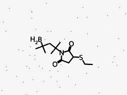 BC(C)(C)CC(C)(C)N1C(=O)CC(SCC)C1=O